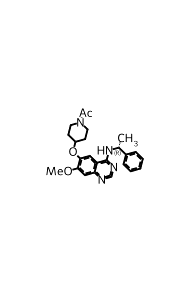 COc1cc2ncnc(N[C@H](C)c3ccccc3)c2cc1OC1CCN(C(C)=O)CC1